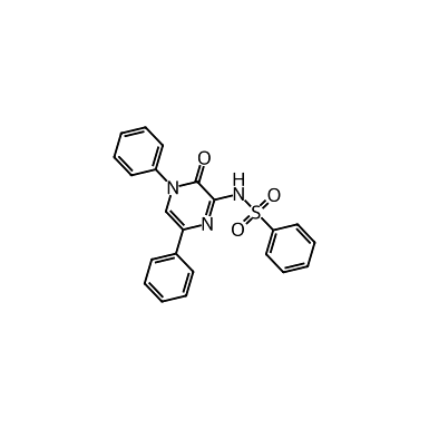 O=c1c(NS(=O)(=O)c2ccccc2)nc(-c2ccccc2)cn1-c1ccccc1